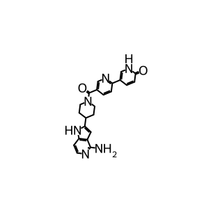 Nc1nccc2[nH]c(C3CCN(C(=O)c4ccc(-c5ccc(=O)[nH]c5)nc4)CC3)cc12